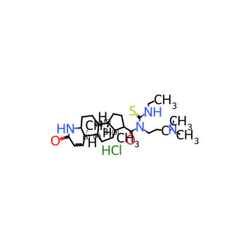 CCNC(=S)N(CCCN(C)C)C(=O)C1CC[C@H]2[C@@H]3CCC4NC(=O)C=C[C@]4(C)[C@@H]3CC[C@]12C.Cl